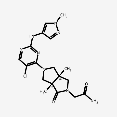 Cn1cc(Nc2ncc(Cl)c(N3C[C@]4(C)CN(CC(N)=O)C(=O)[C@]4(C)C3)n2)cn1